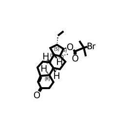 CC[C@H]1C[C@H]2[C@@H]3CCC4=CC(=O)CC[C@@H]4[C@H]3CC[C@]2(C)[C@H]1OC(=O)C(C)(C)Br